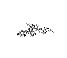 Cc1ccc(-c2ccnc(C(C)C)n2)cc1-n1c(C)nc(OCc2ccc(F)cc2F)c(Br)c1=O